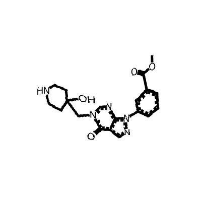 COC(=O)c1cccc(-n2ncc3c(=O)n(CC4(O)CCNCC4)cnc32)c1